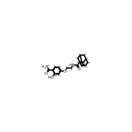 NC(=O)c1ccc(OCCNC(=O)C23CC4CC(CC(C4)C2)C3)cc1O